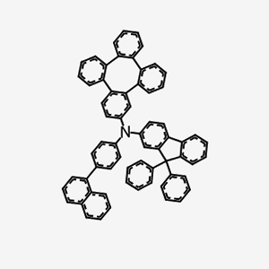 c1ccc(C2(c3ccccc3)c3ccccc3-c3ccc(N(c4ccc(-c5cccc6ccccc56)cc4)c4ccc5c(c4)-c4ccccc4-c4ccccc4-c4ccccc4-5)cc32)cc1